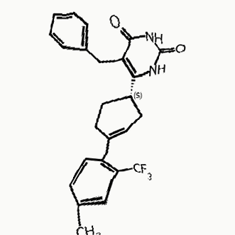 Cc1ccc(C2=CC[C@@H](c3[nH]c(=O)[nH]c(=O)c3Cc3ccccc3)CC2)c(C(F)(F)F)c1